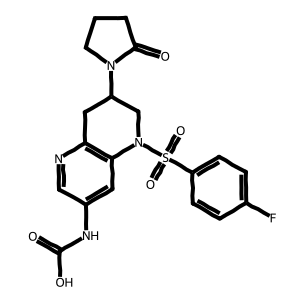 O=C(O)Nc1cnc2c(c1)N(S(=O)(=O)c1ccc(F)cc1)CC(N1CCCC1=O)C2